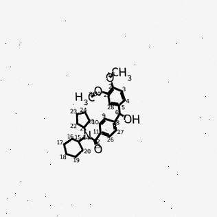 COc1ccc(C(O)c2ccc(C(=O)N(C3CCCCC3)C3CCCC3)cc2)cc1OC